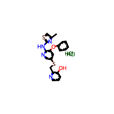 Cc1csc(Nc2ncc(SCc3ncccc3O)cc2Oc2ccccc2)n1.Cl.Cl